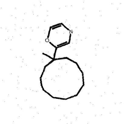 CC1(C2=C[N]C=CO2)CCCCCCCCCC1